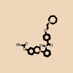 CCN(C(=O)c1ccc(OCCN2CCCCCC2)cc1)c1ccccc1N1CCc2cc(OC(=O)C(C)(C)C)ccc2C1